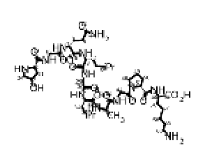 CC(C)CC[C@@H](NC(=O)[C@@H](CCC(N)=O)NC(=O)CNC(=O)[C@H]1C[C@@H](O)CN1)C(=O)NCC(=O)N[C@H](CC(C)C)C(=O)N[C@H](C)C(=O)NCC(=O)N1CCC[C@@H]1C(=O)N[C@H](CCCCCN)C(=O)O